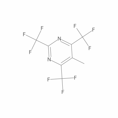 Cc1c(C(F)(F)F)nc(C(F)(F)F)nc1C(F)(F)F